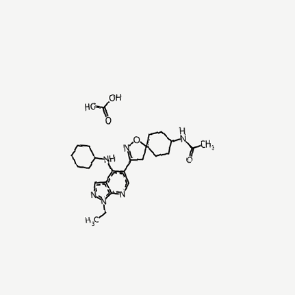 CCn1ncc2c(NC3CCCCC3)c(C3=NOC4(CCC(NC(C)=O)CC4)C3)cnc21.O=C(O)O